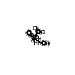 COc1ccc(NCCNC(=O)[C@H](CC2CCCCC2)NC(=O)c2cc(Cl)cc(Cl)c2)cc1